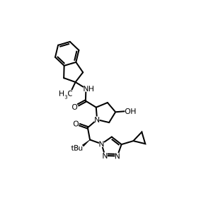 CC1(NC(=O)C2CC(O)CN2C(=O)[C@@H](n2cc(C3CC3)nn2)C(C)(C)C)Cc2ccccc2C1